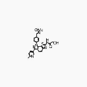 CON=Cc1ccc(-n2nc(-c3ccc(C)nc3)c3c2-c2sc(NC(=O)CO)nc2CC3)cc1